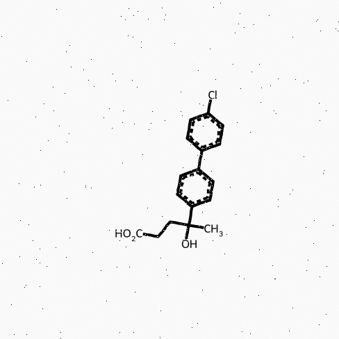 CC(O)(CCC(=O)O)c1ccc(-c2ccc(Cl)cc2)cc1